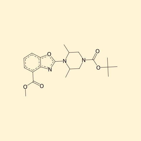 COC(=O)c1cccc2oc(N3C(C)CN(C(=O)OC(C)(C)C)CC3C)nc12